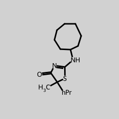 CCCC1(C)SC(NC2CCCCCCC2)=NC1=O